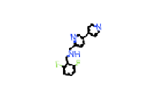 Fc1cccc(F)c1CNCc1ccc(-c2ccncc2)cn1